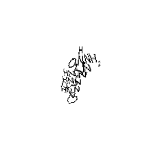 Nc1nc2nc(-c3nc4nc(N5CCCCCC5)[nH]c(=O)c4[nH]3)[nH]c2c(=O)[nH]1